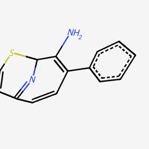 NC1=C(c2ccccc2)C=CC2=NC1SC=C2